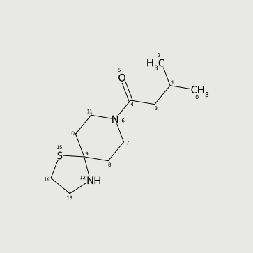 CC(C)CC(=O)N1CCC2(CC1)NCCS2